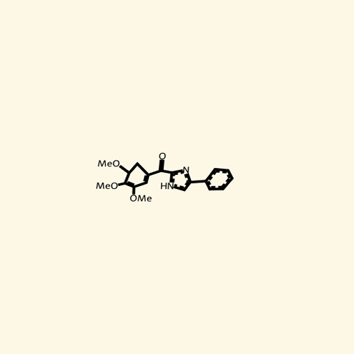 COC1=C(OC)C(OC)CC(C(=O)c2nc(-c3ccccc3)c[nH]2)=C1